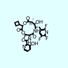 C[C@H]1OC(=O)C(C2CCC2)OC(=O)[C@H](C)[C@H](O)[C@H](Cc2cc(F)c(F)nc2F)NC(=O)[C@H]1NC(=O)c1ncccc1O